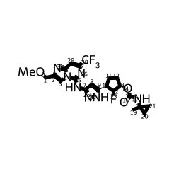 COCc1cn2c(Nc3cc([C@@H]4CC[C@H](OC(=O)NC5(C)CC5)[C@H]4F)[nH]n3)nc(C(F)(F)F)cc2n1